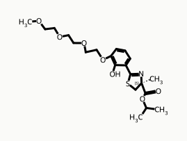 COCCOCCOCCOc1cccc(C2=N[C@@](C)(C(=O)OC(C)C)CS2)c1O